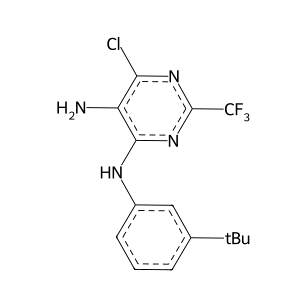 CC(C)(C)c1cccc(Nc2nc(C(F)(F)F)nc(Cl)c2N)c1